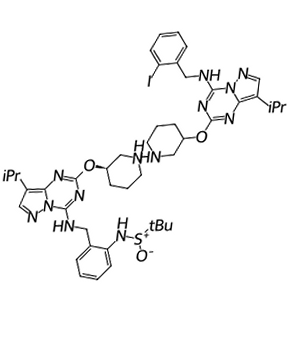 CC(C)c1cnn2c(NCc3ccccc3I)nc(OC3CCCNC3)nc12.CC(C)c1cnn2c(NCc3ccccc3N[S+]([O-])C(C)(C)C)nc(O[C@@H]3CCCNC3)nc12